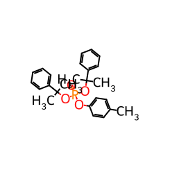 Cc1ccc(OP(=O)(OC(C)(C)c2ccccc2)OC(C)(C)c2ccccc2)cc1